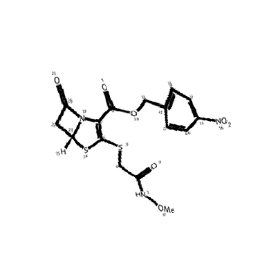 CONC(=O)CSC1=C(C(=O)OCc2ccc([N+](=O)[O-])cc2)N2C(=O)C[C@H]2S1